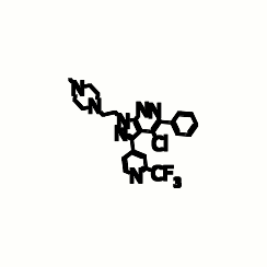 CN1CCN(CCn2nc(-c3ccnc(C(F)(F)F)c3)c3c(Cl)c(-c4ccccc4)nnc32)CC1